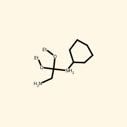 CCOC(CN)(OCC)[SiH2]C1CCCCC1